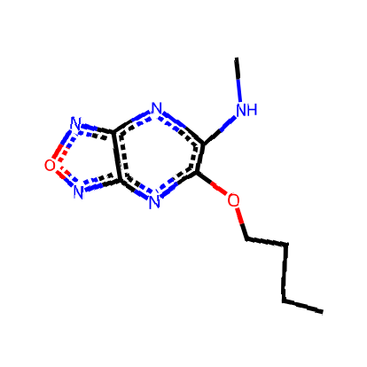 CCCCOc1nc2nonc2nc1NC